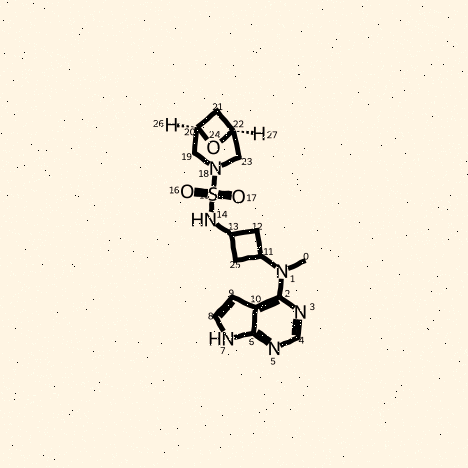 CN(c1ncnc2[nH]ccc12)C1CC(NS(=O)(=O)N2C[C@H]3C[C@@H](C2)O3)C1